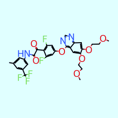 COCCOc1cc2ncnc(Oc3cc(F)c(C(=O)C(=O)Nc4cc(C)cc(C(F)(F)F)c4)c(F)c3)c2cc1OCCOC